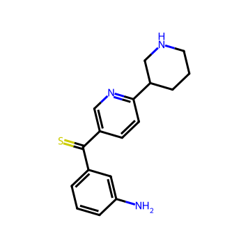 Nc1cccc(C(=S)c2ccc(C3CCCNC3)nc2)c1